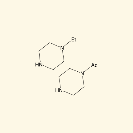 CC(=O)N1CCNCC1.CCN1CCNCC1